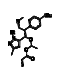 C=CC(=O)OC(C)O/C(=C(/C=N\C)c1ccc(C(C)(C)C)cc1)c1cc(C)nn1CC